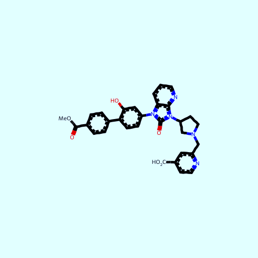 COC(=O)c1ccc(-c2ccc(-n3c(=O)n(C4CCN(Cc5cc(C(=O)O)ccn5)C4)c4ncccc43)cc2O)cc1